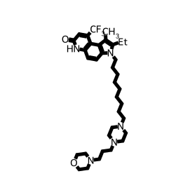 CCc1c(C)c2c3c(C(F)(F)F)cc(=O)[nH]c3ccc2n1CCCCCCCCCN1CCN(CCCN2CCOCC2)CC1